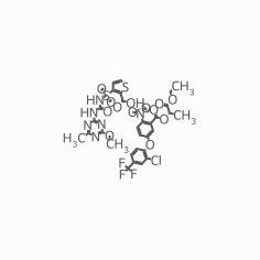 CCOC(=O)C(C)OC(=O)c1cc(Oc2ccc(C(F)(F)F)cc2Cl)ccc1[N+](=O)[O-].COc1nc(C)nc(NC(=O)NS(=O)(=O)c2ccsc2C(=O)O)n1